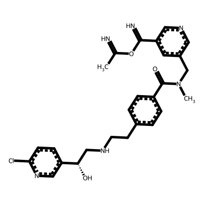 CC(=N)OC(=N)c1cncc(CN(C)C(=O)c2ccc(CCNC[C@H](O)c3ccc(Cl)nc3)cc2)c1